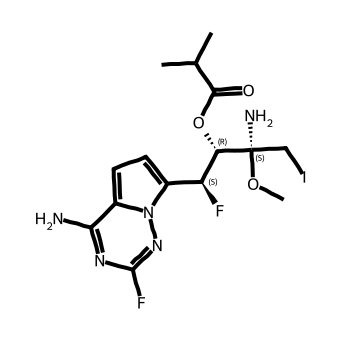 CO[C@](N)(CI)[C@@H](OC(=O)C(C)C)[C@@H](F)c1ccc2c(N)nc(F)nn12